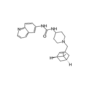 CC1(C)[C@H]2CC(CN3CCC(NC(=O)Nc4ccc5ncccc5c4)CC3)=C[C@H]1C2